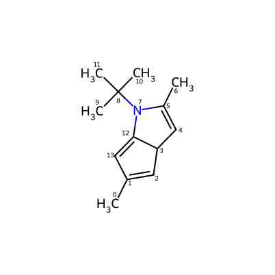 CC1=CC2C=C(C)N(C(C)(C)C)C2=C1